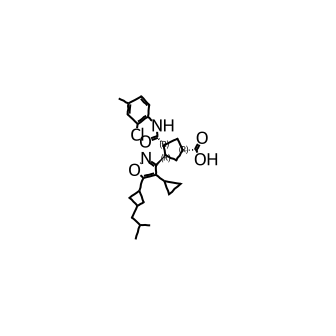 Cc1ccc(NC(=O)[C@@H]2C[C@H](C(=O)O)C[C@H]2c2noc(C3CC(CC(C)C)C3)c2C2CC2)c(Cl)c1